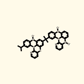 CC(C)c1ccc2c(c1)N1c3ncccc3Sc3cc(C(C)(C)c4ccc5c(c4)N4c6ncccc6[S+]([O-])c6cccc(c64)[S+]5[O-])cc(c31)[S+]2[O-]